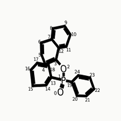 O=P(Oc1cccc2ccccc12)(c1ccccc1)c1ccccc1